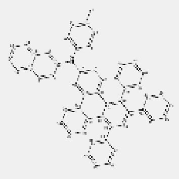 Cc1ccc(N(c2ccc3ccccc3c2)c2ccc3c(c2)c2ccccc2c2c(-c4ccccc4)cc(-c4ccccc4)c(-c4ccccc4)c32)cc1